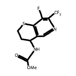 COC(=O)NC1CCSc2c1cnc(C(F)(F)F)c2F